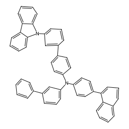 c1ccc(-c2cccc(N(c3ccc(-c4cccc(-n5c6ccccc6c6ccccc65)c4)cc3)c3ccc(-c4cccc5ccccc45)cc3)c2)cc1